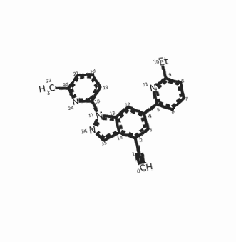 C#Cc1cc(-c2cccc(CC)n2)cc2c1cnn2-c1cccc(C)n1